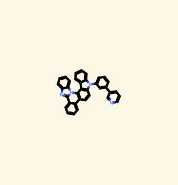 c1cncc(-c2cccc(-n3c4ccccc4c4c3ccc3c5ccccc5c5nc6ccccc6n5c34)c2)c1